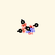 Cc1ccc(S(=O)(=O)OCC2(COS(=O)(=O)c3ccc(C)cc3)CCC(NC(=O)OCc3ccccc3)(C(=N)NO)CC2)cc1